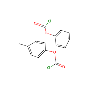 Cc1ccc(OC(=O)Cl)cc1.O=C(Cl)Oc1ccccc1